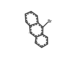 Brc1c2ccccc2[c]c2ccccc12